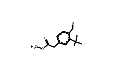 COC(=O)Cc1ccc(CBr)c(C(F)(F)F)c1